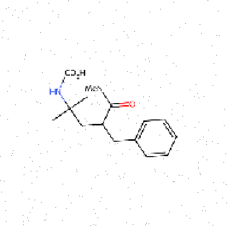 CNC(=O)C(Cc1ccccc1)CC(C)(C)NC(=O)O